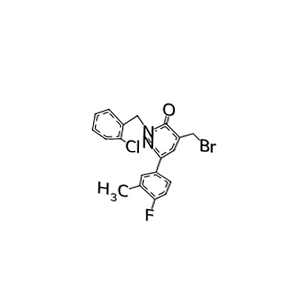 Cc1cc(-c2cc(CBr)c(=O)n(Cc3ccccc3Cl)n2)ccc1F